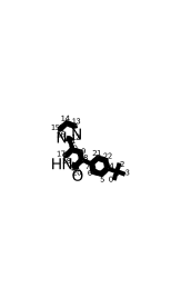 CC(C)(C)c1ccc(-c2cc(-c3ncccn3)c[nH]c2=O)cc1